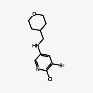 Clc1ncc(NCC2CCOCC2)cc1Br